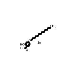 CCCCCCCCCCCCCCOc1ccc(C(=O)O)c(O)c1.[Zn]